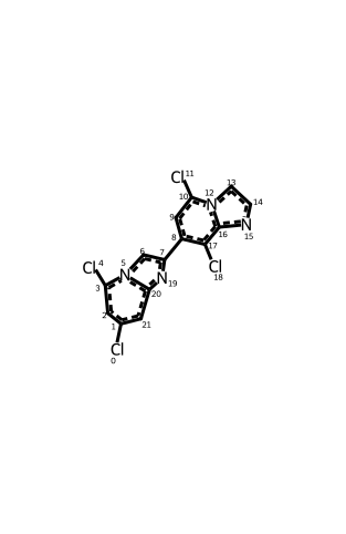 Clc1cc(Cl)n2cc(-c3cc(Cl)n4ccnc4c3Cl)nc2c1